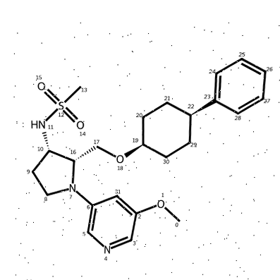 COc1cncc(N2CC[C@H](NS(C)(=O)=O)[C@@H]2CO[C@H]2CC[C@@H](c3ccccc3)CC2)c1